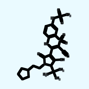 CC(C)(C)C1C(O)=C(C2=C(C#N)S(=O)(=O)c3cc(NS(C)(=O)=O)ccc3N2)C(=O)N1CCC1CCCC1